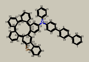 c1ccc(-c2ccc(-c3ccc(N(c4ccccc4)c4ccc5c(c4)c4ccccc4c4ccccc4c4ccccc4c4cc6sc7ccccc7c6cc54)cc3)cc2)cc1